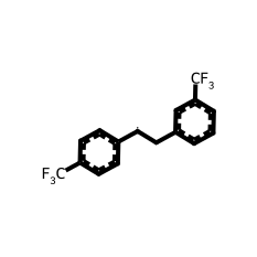 FC(F)(F)c1ccc([CH]Cc2cccc(C(F)(F)F)c2)cc1